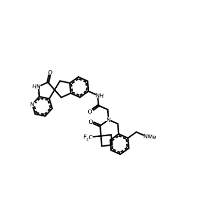 CNCc1ccccc1CN(CC(=O)Nc1ccc2c(c1)CC1(C2)C(=O)Nc2ncccc21)C(=O)C1(C(F)(F)F)CCC1